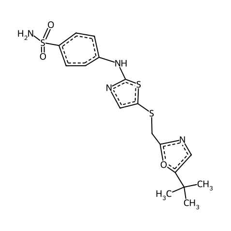 CC(C)(C)c1cnc(CSc2cnc(Nc3ccc(S(N)(=O)=O)cc3)s2)o1